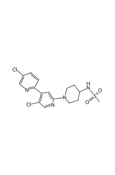 CS(=O)(=O)NC1CCN(c2cc(-c3ccc(Cl)cn3)c(Cl)cn2)CC1